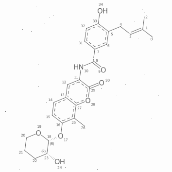 CC(C)=CCc1cc(C(=O)Nc2cc3ccc(O[C@H]4OCCC[C@H]4O)c(C)c3oc2=O)ccc1O